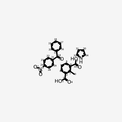 Cc1c(C(=O)O)cccc1C(=O)O.O=C(c1ccccc1)c1ccc([N+](=O)[O-])cc1.c1cc[nH]c1